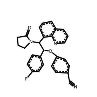 N#Cc1ccc(O[C@@H](c2ccc(F)cc2)C(c2cccc3cccnc23)N2CCCC2=O)cc1